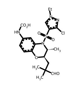 CCn1cc(S(=O)(=O)N2c3cc(NC(=O)O)ccc3O[C@H](CC(C)(C)C=O)[C@H]2C)c(Cl)n1